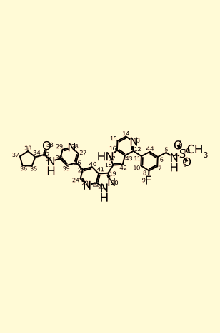 CS(=O)(=O)NCc1cc(F)cc(-c2nccc3[nH]c(-c4n[nH]c5ncc(-c6cncc(NC(=O)C7CCCC7)c6)cc45)cc23)c1